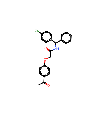 CC(=O)c1ccc(OCC(=O)NC(c2ccccc2)c2ccc(Cl)cc2)cc1